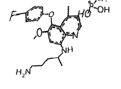 COc1cc(NC(C)CCCN)c2nccc(C)c2c1Oc1ccc(F)cc1.O=P(O)(O)O